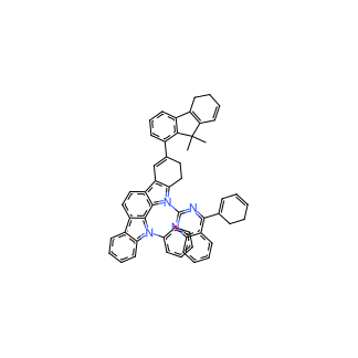 CC1(C)C2=C(CCC=C2)c2cccc(C3=Cc4c(n(-c5nc(C6=CC=CCC6)c6ccccc6n5)c5c4ccc4c6ccccc6n(-c6ccccc6)c45)CC3)c21